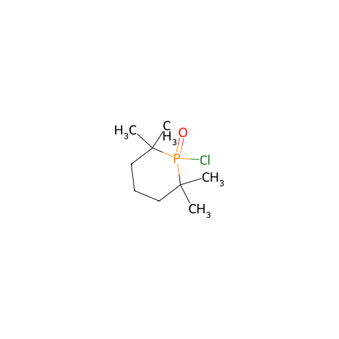 CC1(C)CCCC(C)(C)P1(=O)Cl